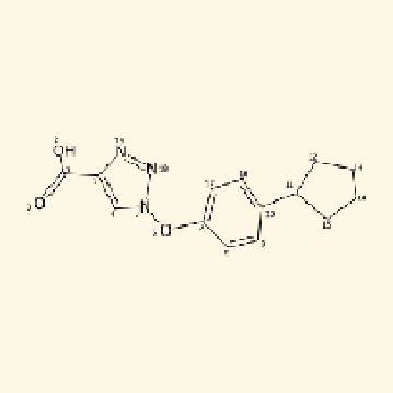 O=C(O)c1cn(Oc2ccc(C3CCCC3)cc2)nn1